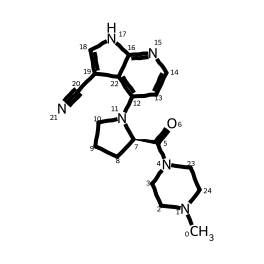 CN1CCN(C(=O)[C@H]2CCCN2c2ccnc3[nH]cc(C#N)c23)CC1